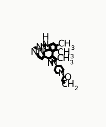 C=CC(=O)N1CCC(n2nc(-c3ccc4ncnn4c3)c(-c3c(C)c(C)cc4[nH]ncc34)c2C)CC1